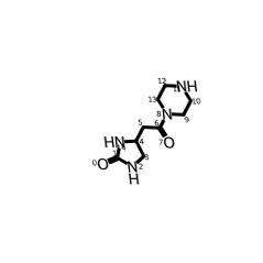 O=C1NCC(CC(=O)N2CCNCC2)N1